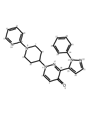 O=c1ccn(C2CCN(c3ccccn3)CC2)nc1-c1ccnn1-c1ccccc1